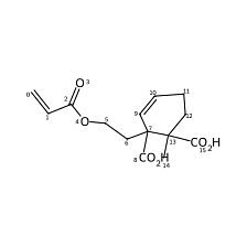 C=CC(=O)OCCC1(C(=O)O)C=CCCC1(C)C(=O)O